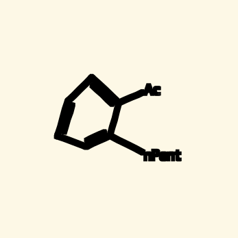 CCCCCc1ccccc1C(C)=O